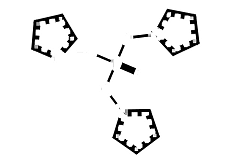 O=P(O)(On1cccc1)On1cccc1.c1ccoc1